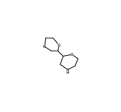 C1COC(C2CNCCO2)C[N]1